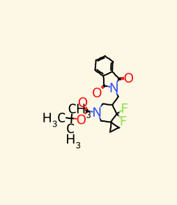 CC(C)(C)OC(=O)N1CC(CN2C(=O)c3ccccc3C2=O)C(F)(F)C2(CC2)C1